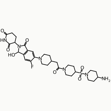 NC1CCN(S(=O)(=O)C2CCN(C(=O)CC3CCN(c4cc5c(cc4F)C(O)N(C4CCC(=O)NC4=O)C5=O)CC3)CC2)CC1